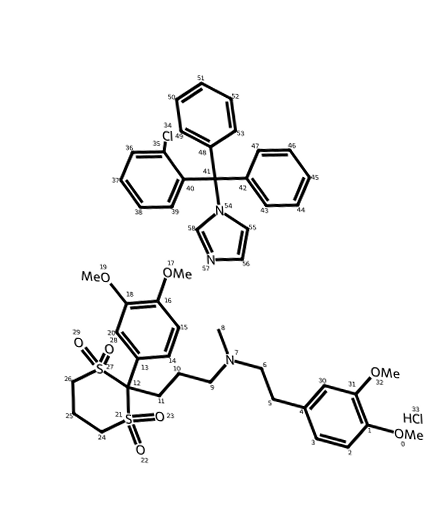 COc1ccc(CCN(C)CCCC2(c3ccc(OC)c(OC)c3)S(=O)(=O)CCCS2(=O)=O)cc1OC.Cl.Clc1ccccc1C(c1ccccc1)(c1ccccc1)n1ccnc1